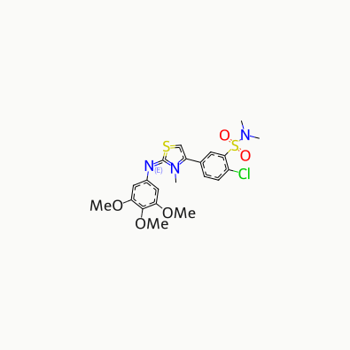 COc1cc(/N=c2/scc(-c3ccc(Cl)c(S(=O)(=O)N(C)C)c3)n2C)cc(OC)c1OC